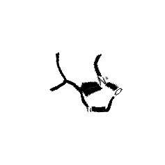 CC(C)c1nco[n+]1C